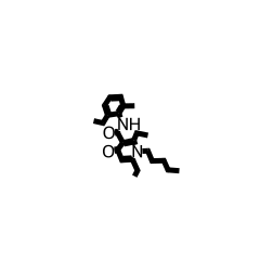 CCCCCn1c(CC)cc(=O)c(C(=O)Nc2c(C)cccc2CC)c1CC